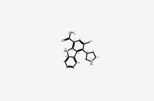 NC(=O)c1cc(F)c(C2CCNC2)c2c1[nH]c1ccccc12